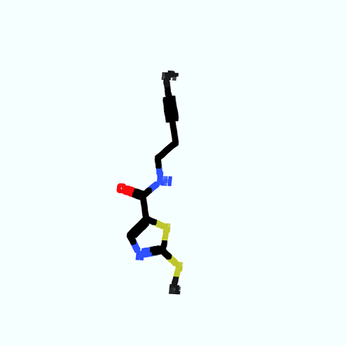 CCCC#CCCNC(=O)c1cnc(SCC)s1